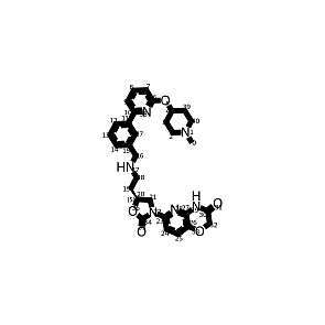 CN1CCC(Oc2cccc(-c3cccc(CNCC[C@H]4CN(c5ccc6c(n5)NC(=O)CO6)C(=O)O4)c3)n2)CC1